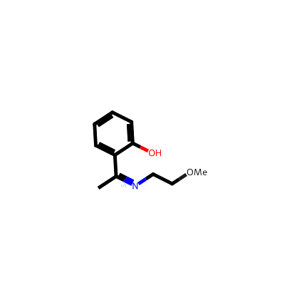 COCC/N=C(/C)c1ccccc1O